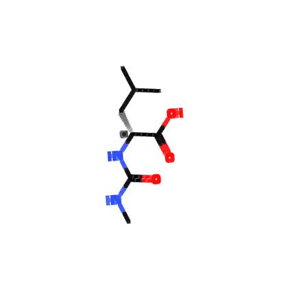 CNC(=O)N[C@H](CC(C)C)C(=O)O